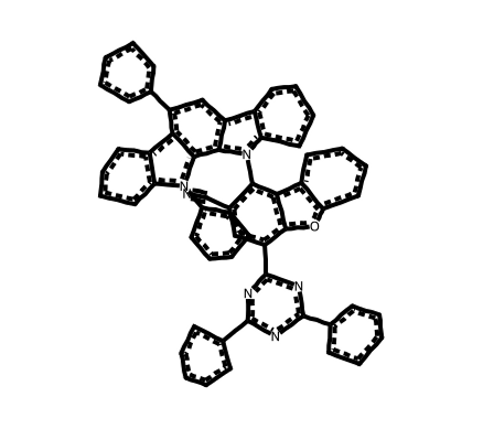 N#Cc1cc(-c2nc(-c3ccccc3)nc(-c3ccccc3)n2)c2oc3ccccc3c2c1-n1c2ccccc2c2cc(-c3ccccc3)c3c4ccccc4n(-c4ccccc4)c3c21